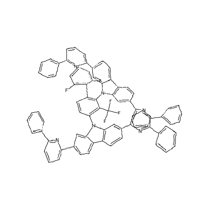 Fc1cccc(F)c1-c1ccc(-n2c3cc(-c4cccc(-c5ccccc5)n4)ccc3c3ccc(-c4cccc(-c5ccccc5)n4)cc32)c(C(F)(F)F)c1-n1c2cc(-c3cccc(-c4ccccc4)n3)ccc2c2ccc(-c3cccc(-c4ccccc4)n3)cc21